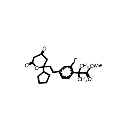 COC(=O)C(C)(C)c1ccc(CCC2(C3CCCC3)CC(=O)CC(=O)O2)cc1F